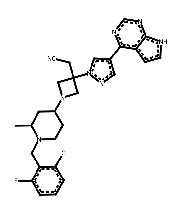 CC1CC(N2CC(CC#N)(n3cc(-c4ncnc5[nH]ccc45)cn3)C2)CCN1Cc1c(F)cccc1Cl